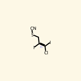 N#CSC/C(I)=C(/Cl)I